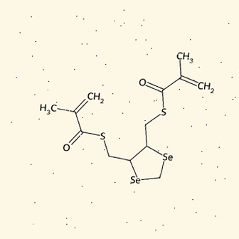 C=C(C)C(=O)SCC1[Se]C[Se]C1CSC(=O)C(=C)C